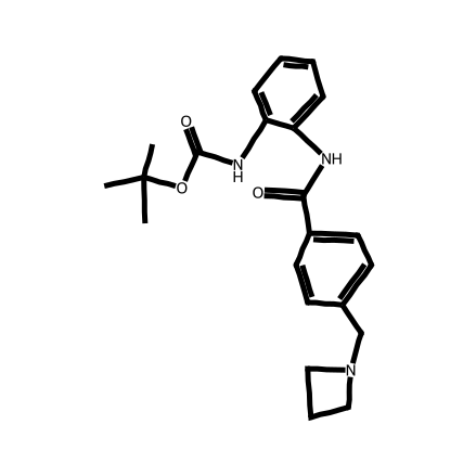 CC(C)(C)OC(=O)Nc1ccccc1NC(=O)c1ccc(CN2CCC2)cc1